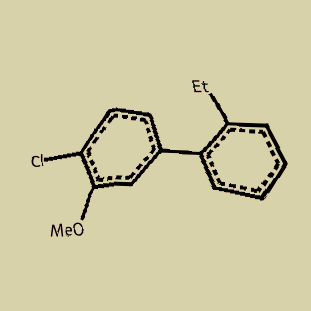 CCc1ccccc1-c1ccc(Cl)c(OC)c1